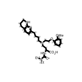 CCN(CC)C(=O)NC(CCN(CCCCc1ccc2c(n1)NCCC2)CCOc1ccccc1OC)C(=O)O